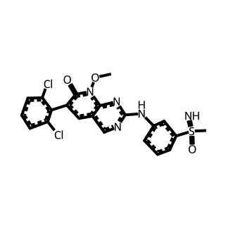 COn1c(=O)c(-c2c(Cl)cccc2Cl)cc2cnc(Nc3cccc(S(C)(=N)=O)c3)nc21